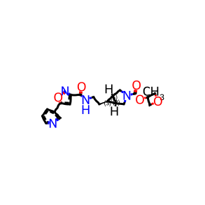 CC1(OC(=O)N2C[C@@H]3[C@@H](CCNC(=O)c4cc(-c5cccnc5)on4)[C@@H]3C2)COC1